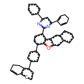 C1=CC(c2cc(-c3ccccc3)nc(-c3ccc(-c4ccc(-c5cccc6c5CCC=C6)cc4)c4oc5cc6ccccc6cc5c34)n2)=CCC1